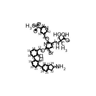 C[C@@](CO)(NCc1cc(Br)c(OCc2cccc(-c3cccc(-c4ccc5c(c4)C[C@@H](N)C5)c3Cl)c2Cl)nc1OCc1cncc(S(C)(=O)=O)c1)C(=O)O